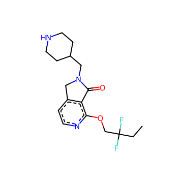 CCC(F)(F)COc1nccc2c1C(=O)N(CC1CCNCC1)C2